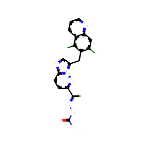 C/C(=N\NC(N)=O)c1ccc2ncc(Cc3c(F)cc4ncccc4c3F)n2n1